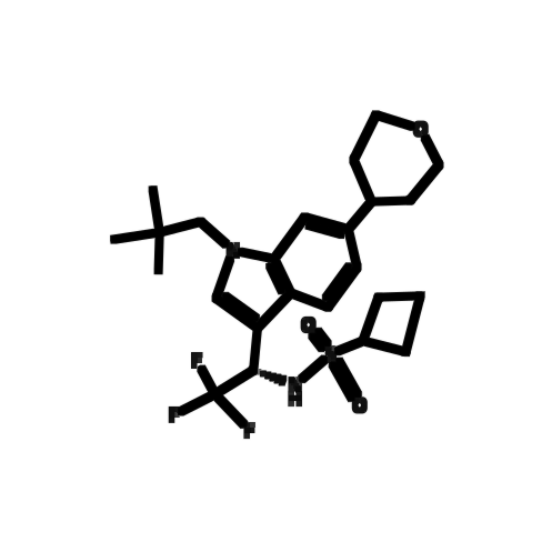 CC(C)(C)Cn1cc([C@H](NS(=O)(=O)C2CCC2)C(F)(F)F)c2ccc(C3CCOCC3)cc21